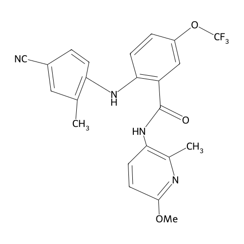 COc1ccc(NC(=O)c2cc(OC(F)(F)F)ccc2Nc2ccc(C#N)cc2C)c(C)n1